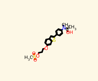 CB(O)N(C)c1ccc(-c2cc3ccc(OCCCOS(C)(=O)=O)cc3s2)cc1